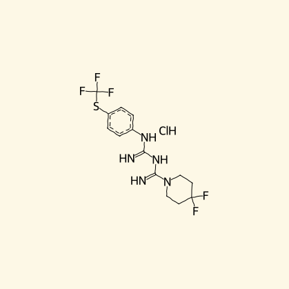 Cl.N=C(NC(=N)N1CCC(F)(F)CC1)Nc1ccc(SC(F)(F)F)cc1